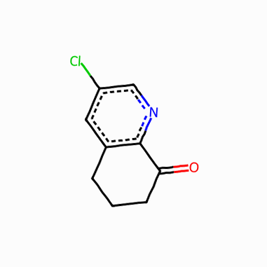 O=C1CCCc2cc(Cl)cnc21